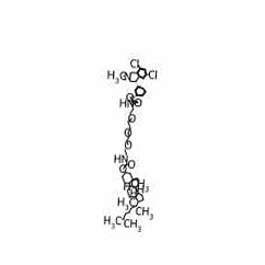 CC(C)CCC[C@@H](C)C1CC[C@H]2[C@@H]3CC=C4C[C@@H](OC(=O)NCCOCCOCCOCCNS(=O)(=O)c5cccc([C@@H]6CN(C)Cc7c(Cl)cc(Cl)cc76)c5)CC[C@]4(C)[C@H]3CC[C@]12C